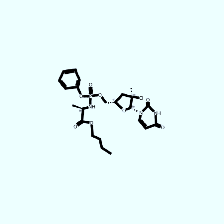 CCCCOC(=O)[C@@H](C)NP(=O)(OC[C@@H]1C[C@@](C)(Cl)[C@H](n2ccc(=O)[nH]c2=O)O1)Oc1ccccc1